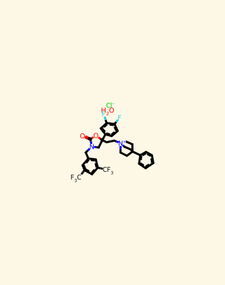 O.O=C1OC(CC[N+]23CCC(c4ccccc4)(CC2)CC3)(c2ccc(F)c(F)c2)CN1Cc1cc(C(F)(F)F)cc(C(F)(F)F)c1.[Cl-]